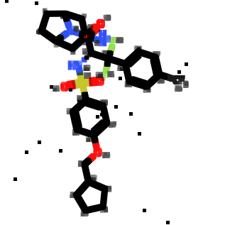 NC1CC2CCC(C1)N2C(=O)[C@@H](NS(=O)(=O)c1ccc(OCC2CCCC2)cc1)C(F)(F)c1ccc(C(F)(F)F)cc1